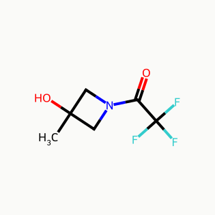 CC1(O)CN(C(=O)C(F)(F)F)C1